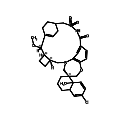 CO[C@@H]1C2=CCC(CC2)CS(=O)(=O)NC(=O)c2ccc3c(c2)N(C[C@@H]2CC[C@H]21)C[C@@]1(CCCC2C=C(Cl)C=CC21C)CO3